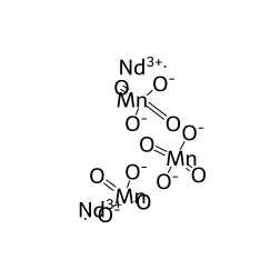 [Nd+3].[Nd+3].[O]=[Mn](=[O])([O-])[O-].[O]=[Mn](=[O])([O-])[O-].[O]=[Mn](=[O])([O-])[O-]